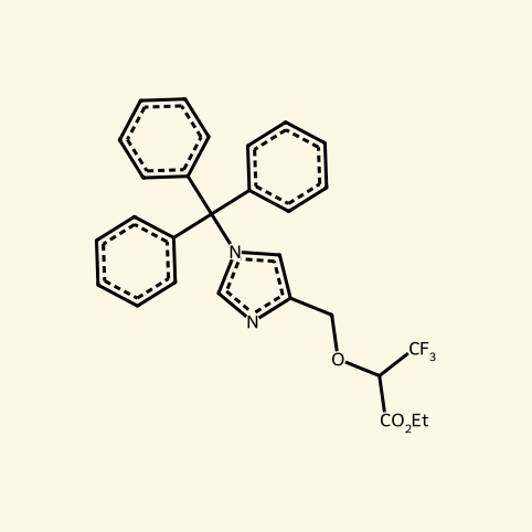 CCOC(=O)C(OCc1cn(C(c2ccccc2)(c2ccccc2)c2ccccc2)cn1)C(F)(F)F